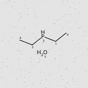 CCPCC.O